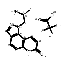 C[C@H](N)Cn1ncc2ccc3oc(=O)ccc3c21.O=C(O)C(F)(F)F